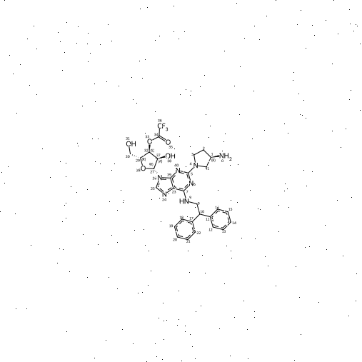 N[C@@H]1CCN(c2nc(NCC(c3ccccc3)c3ccccc3)c3ncn([C@@H]4O[C@H](CO)[C@@H](OC(=O)C(F)(F)F)[C@H]4O)c3n2)C1